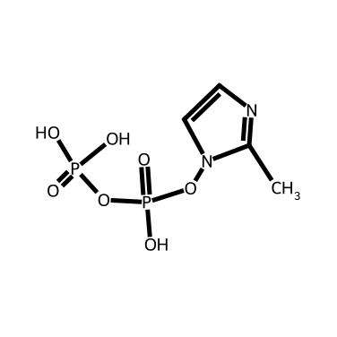 Cc1nccn1OP(=O)(O)OP(=O)(O)O